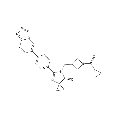 O=C(C1CC1)N1CC(CN2C(=O)C3(CC3)N=C2c2ccc(-c3ccc4nncn4c3)cc2)C1